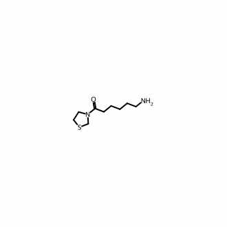 NCCCCCC(=O)N1CCSC1